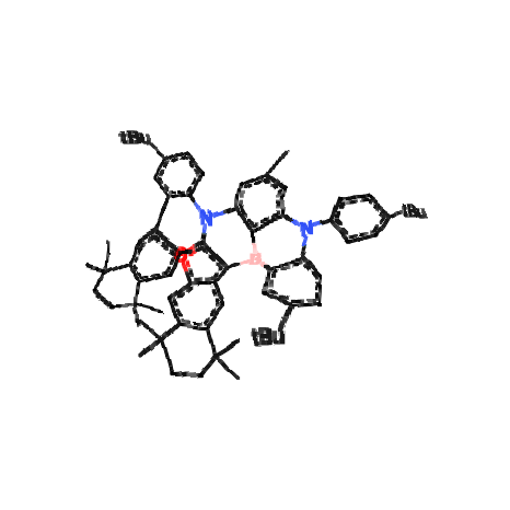 Cc1cc2c3c(c1)N(c1ccc(C(C)(C)C)cc1-c1cc4c(cc1C)C(C)(C)CCC4(C)C)c1oc4cc5c(cc4c1B3c1cc(C(C)(C)C)ccc1N2c1ccc(C(C)(C)C)cc1)C(C)(C)CCC5(C)C